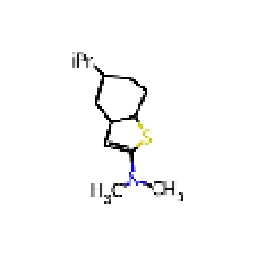 CC(C)C1CCC2SC(N(C)C)=CC2C1